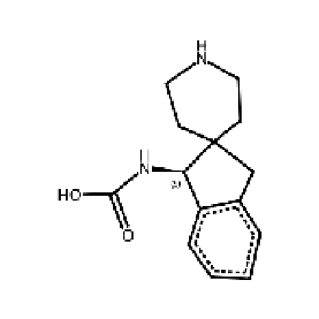 O=C(O)N[C@@H]1c2ccccc2CC12CCNCC2